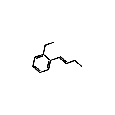 CCC=Cc1ccccc1CC